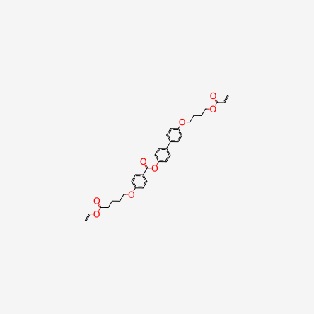 C=COC(=O)CCCCOc1ccc(C(=O)Oc2ccc(-c3ccc(OCCCCOC(=O)C=C)cc3)cc2)cc1